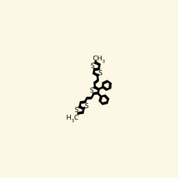 Cc1cc2sc(/C=C/c3sc(/C=C/c4cc5sc(C)cc5s4)c(-c4ccccc4)c3-c3ccccc3)cc2s1